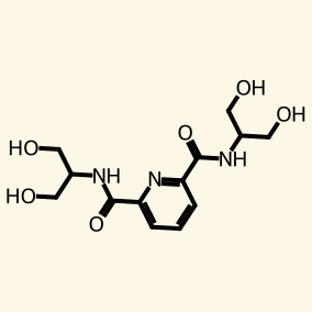 O=C(NC(CO)CO)c1cccc(C(=O)NC(CO)CO)n1